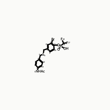 CC(=O)Nc1ccc(CSCc2ccc(OP(=O)(O)C(F)F)c(Br)c2)cc1